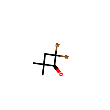 CC1(C)CC(Br)(Br)C1=O